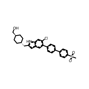 CS(=O)(=O)c1ccc(-c2ccc(-c3cc4cc(C[C@H]5CC[C@H](CO)CC5)[nH]c4cc3Cl)cc2)cc1